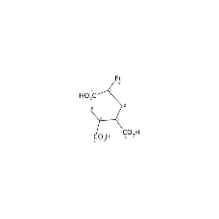 CCC(CC(C(=O)O)C(C)C(=O)O)C(=O)O